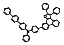 c1ccc(-c2ccc(-c3ccc(N(c4ccccc4)c4ccc(-c5ccc6c7ccccc7c7c(-c8ccccc8)c(-c8ccccc8)oc7c6c5)cc4)cc3)cc2)cc1